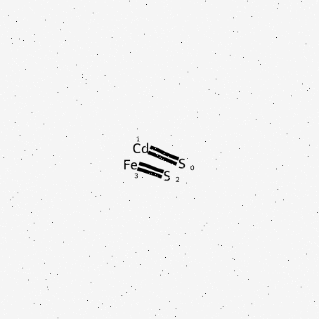 [S]=[Cd].[S]=[Fe]